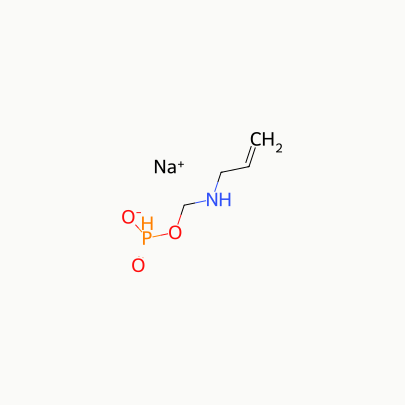 C=CCNCO[PH](=O)[O-].[Na+]